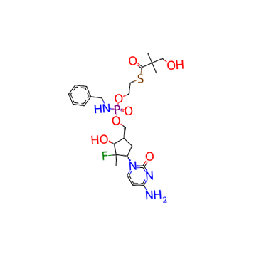 CC(C)(CO)C(=O)SCCOP(=O)(NCc1ccccc1)OC[C@H]1C[C@@H](n2ccc(N)nc2=O)C(C)(F)[C@H]1O